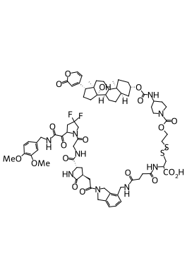 COc1ccc(CNC(=O)C(=O)C2CC(F)(F)CN2C(=O)CNC(=O)[C@@H]2C[C@@H](CC(=O)N3Cc4cccc(CNC(=O)CCC(=O)NC(CSSCCOC(=O)N5CCC(NC(=O)O[C@H]6CC[C@]7(C)C8CC[C@]9(C)[C@@H](c%10ccoc(=O)c%10)CC[C@]9(O)[C@@H]8CC[C@@H]7C6)CC5)C(=O)O)c4C3)C(=O)N2)cc1OC